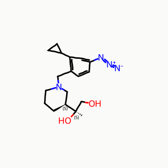 C[C@@](O)(CO)[C@H]1CCCN(Cc2ccc(N=[N+]=[N-])cc2C2CC2)C1